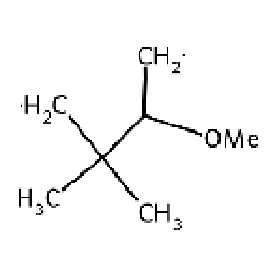 [CH2]C(OC)C([CH2])(C)C